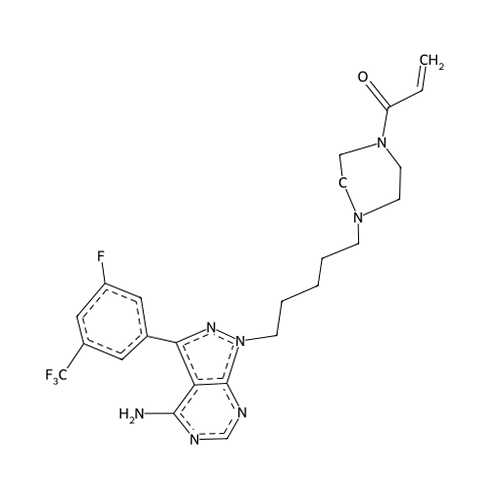 C=CC(=O)N1CCN(CCCCCn2nc(-c3cc(F)cc(C(F)(F)F)c3)c3c(N)ncnc32)CC1